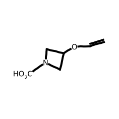 C=COC1CN(C(=O)O)C1